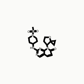 CS(=O)(=O)N1CCC(Nc2ncc3ccc(=O)n(C4CCOC45CC5)c3n2)CC1